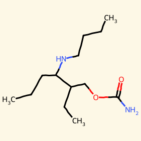 CCCCNC(CCC)C(CC)COC(N)=O